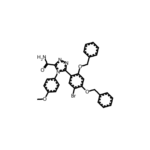 COc1ccc(-n2c(C(N)=O)nnc2-c2cc(Br)c(OCc3ccccc3)cc2OCc2ccccc2)cc1